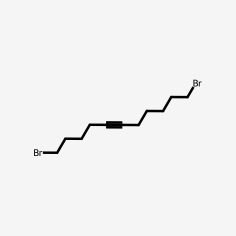 BrCCCCC#CCCCCCBr